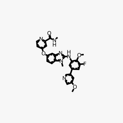 CNC(=O)c1cc(Oc2ccc3c(c2)nc(Nc2cc(-c4cncc(OC)c4)cc(F)c2OC)n3C)ccn1